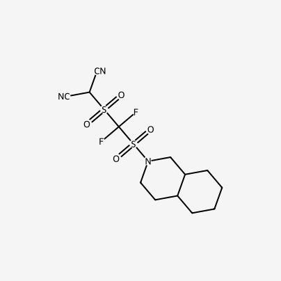 N#CC(C#N)S(=O)(=O)C(F)(F)S(=O)(=O)N1CCC2CCCCC2C1